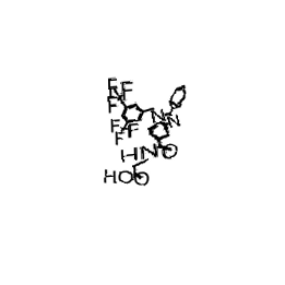 O=C(O)CCNC(=O)c1ccc2c(c1)nc(C1CC3C=CC1C3)n2Cc1cc(C(F)(F)F)cc(C(F)(F)F)c1